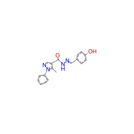 Cc1c(C(=O)NN=Cc2ccc(O)cc2)cnn1-c1ccccc1